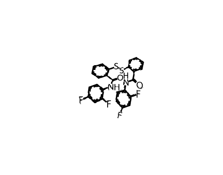 O=C(Nc1ccc(F)cc1F)c1ccccc1SSc1ccccc1C(=O)Nc1ccc(F)cc1F